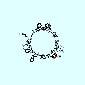 CCCC[C@H]1C(=O)N2CSC[C@@H]2C(=O)N[C@H]2CC(=O)NN(C(=O)[C@H](C(C)C)NC2=O)[C@@H](Cc2ccccc2)C(=O)N[C@@H](Cc2ccc(O)cc2)C(=O)N2CCC[C@@H]2C(=O)N[C@@H](Cc2c[nH]c3ccccc23)C(=O)N[C@@H](Cc2ccc(O)cc2)C(=O)N[C@@H](CC(C)C)C(=O)N[C@H](C(=O)NCC(N)=O)CSCC(=O)N[C@@H](Cc2ccccc2)C(=O)N(C)[C@@H](Cc2ccccc2)C(=O)N1C